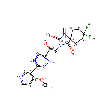 COc1ccncc1-c1cnc(C(=O)CN2C(=O)NC3(CCC(F)(F)CC3)C2=O)cn1